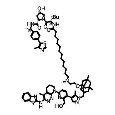 Cc1ncsc1-c1ccc([C@H](C)NC(=O)[C@@H]2C[C@@H](O)CN2C(=O)[C@@H](NC(=O)CCCCCCCCCCCCCN(C)CCOC23CC4(C)CC(C)(CC(Cn5ncc(-c6ccc(N7CCCc8c7nnc(Nc7nc9ccccc9s7)c8C)nc6CO)c5C)(C4)C2)C3)C(C)(C)C)cc1